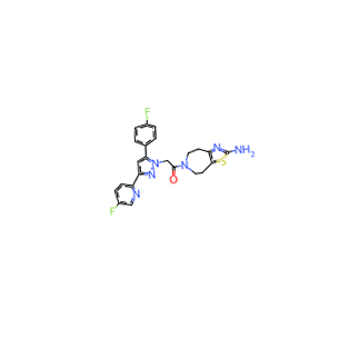 Nc1nc2c(s1)CCN(C(=O)Cn1nc(-c3ccc(F)cn3)cc1-c1ccc(F)cc1)CC2